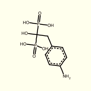 Nc1ccc(CC(O)(P(=O)(O)O)P(=O)(O)O)cc1